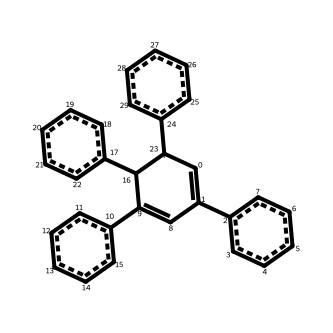 C1=C(c2ccccc2)C=C(c2ccccc2)C(c2ccccc2)[C]1c1ccccc1